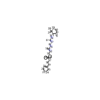 CC1=C(/C=C/C(C)=C/C=C/C(C)=C/COC(=O)CCCc2ccccc2)C(C)(C)CCC1